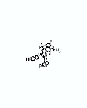 N#Cc1c(N)sc2c(F)ccc(-c3c(C(F)(F)F)cc4c(OC5CCC6(CCNCC6)C5)nc(OCC56CCCN5C[C@H](F)C6)nc4c3F)c12